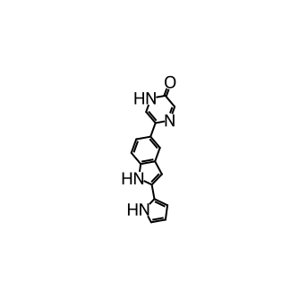 O=c1cnc(-c2ccc3[nH]c(-c4ccc[nH]4)cc3c2)c[nH]1